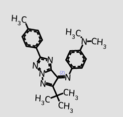 Cc1ccc(-c2nc3n(n2)N=C(C(C)(C)C)/C3=N/c2ccc(N(C)C)cc2)cc1